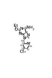 CCOc1nc(N)c2ncn(Cc3cc(Cl)ccn3)c2n1